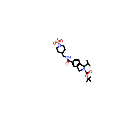 CC(C)C1c2ccc(C(=O)NCC3CCN(S(C)(=O)=O)CC3)cc2CN1C(=O)OC(C)(C)C